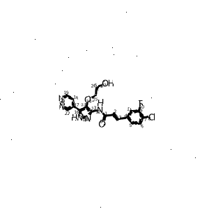 O=C(C=Cc1ccc(Cl)c(F)c1)Nc1n[nH]c(-c2ccnnc2)c1OCCO